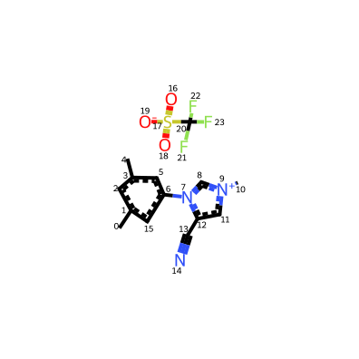 Cc1cc(C)cc(-n2c[n+](C)cc2C#N)c1.O=S(=O)([O-])C(F)(F)F